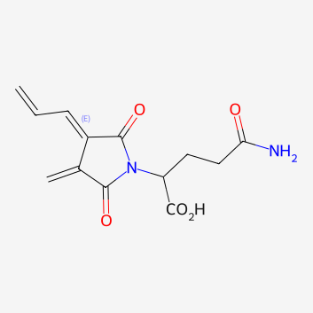 C=C/C=C1\C(=C)C(=O)N(C(CCC(N)=O)C(=O)O)C1=O